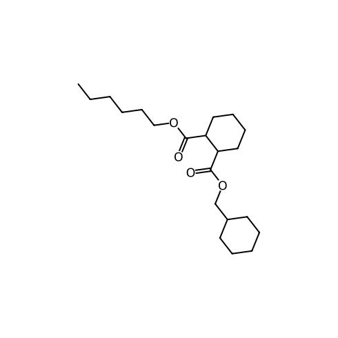 CCCCCCOC(=O)C1CCCCC1C(=O)OCC1CCCCC1